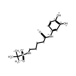 CC(C)(C)S(=O)(=O)NCCCCC(=O)Nc1ccc(O)c(O)c1